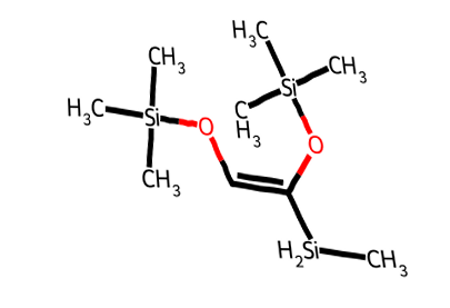 C[SiH2]C(=CO[Si](C)(C)C)O[Si](C)(C)C